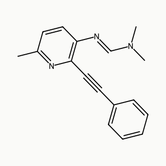 Cc1ccc(/N=C/N(C)C)c(C#Cc2ccccc2)n1